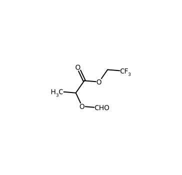 CC(OC=O)C(=O)OCC(F)(F)F